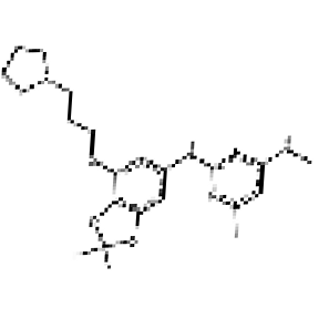 CNc1cc(C)nc(Nc2cc(OCCCN3CCCC3)c3c(c2)OC(F)(F)O3)n1